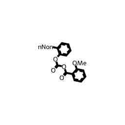 CCCCCCCCCc1ccccc1OC(=O)OC(=O)c1ccccc1OC